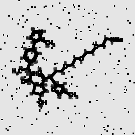 CNCCOCCOCCOCCC(C(=O)N1C[C@H](O)C[C@H]1C(=O)N[C@@H](C)c1ccc(-c2scnc2C)cc1)c1cc(C)no1